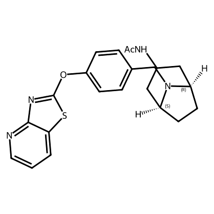 CC(=O)NC1C[C@H]2CC[C@@H](C1)N2Cc1ccc(Oc2nc3ncccc3s2)cc1